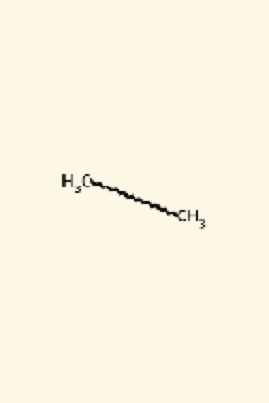 CCCC=CCCCCCCCC=CC=CC=CCCCCCC